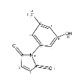 O=C1C=CC(=O)N1c1cc(O)cc(C(F)(F)F)c1